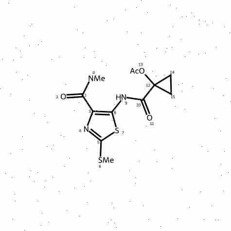 CNC(=O)c1nc(SC)sc1NC(=O)C1(OC(C)=O)CC1